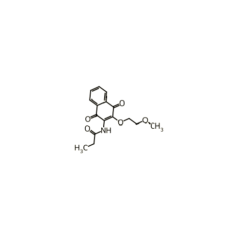 CCC(=O)NC1=C(OCCOC)C(=O)c2ccccc2C1=O